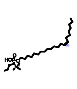 CCCCCCC/C=C\CCCCCCCCCCCCCOP(=O)(O)C(CCC)[N+](C)(C)C